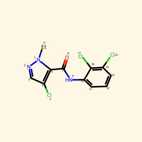 CCn1ncc(Cl)c1C(=O)Nc1cccc(Cl)c1Cl